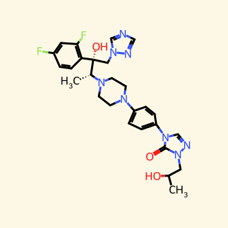 CC(O)Cn1ncn(-c2ccc(N3CCN([C@H](C)[C@](O)(Cn4cncn4)c4ccc(F)cc4F)CC3)cc2)c1=O